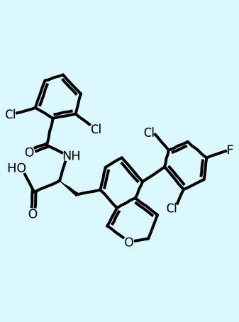 O=C(N[C@@H](Cc1ccc(-c2c(Cl)cc(F)cc2Cl)c2c1=COCC=2)C(=O)O)c1c(Cl)cccc1Cl